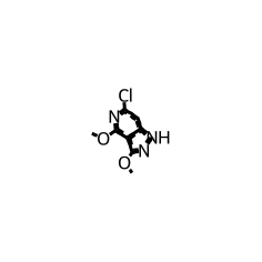 COc1n[nH]c2cc(Cl)nc(OC)c12